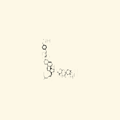 CC(C)CCC(=O)[C@@H](C)[C@@]1(O)[C@@H](OC2OCC(C)C(OC3OCC(O)C(O)C3O)C2O)C[C@H]2[C@@H]3CC=C4C[C@@H](OC(=O)NCc5ccc(CN)cc5)CC[C@]4(C)C3CC[C@@]21C